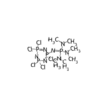 CN(C)P(=NP1(Cl)=NP(Cl)(Cl)=NP(Cl)(Cl)=N1)(N(C)C)N(C)C